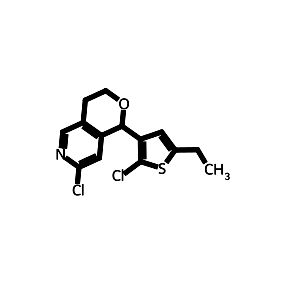 CCc1cc(C2OCCc3cnc(Cl)cc32)c(Cl)s1